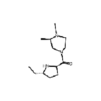 CC[C@H]1CC[C@H](C(=O)N2CCN(C)[C@H](C)C2)N1